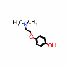 CN(C)CCOc1ccc(O)cc1